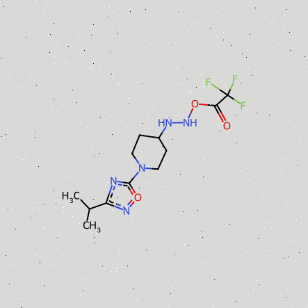 CC(C)c1noc(N2CCC(NNOC(=O)C(F)(F)F)CC2)n1